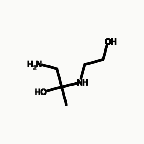 CC(O)(CN)NCCO